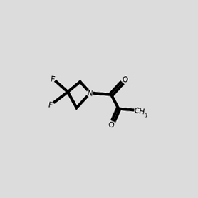 CC(=O)C(=O)N1CC(F)(F)C1